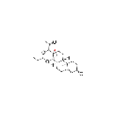 CCC1OC23CC[C@@](C(C)=O)(O1)[C@@]2(C)CC[C@H]1[C@H]3CCC2=CC(=O)CC[C@@]21C